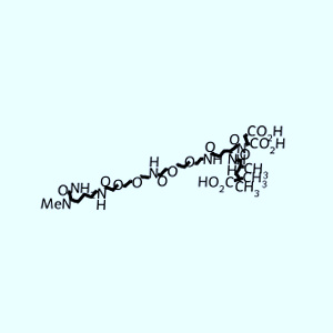 CNC(CCCCNC(=O)COCCOCCNC(=O)COCCOCCNC(=O)CCC(NC(=O)C(C)CC(C)(C)C(=O)O)C(=O)NC(CC(=O)O)C(=O)O)C(N)=O